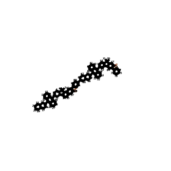 CC1(C)C2=CC=C(c3c4ccccc4c(C4=CC=C5C=CC=CC5C4)c4ccccc34)CC2c2ccc3cc4sc5cc(C6=CC7=CC=C(c8c9ccccc9c(-c9ccc%10c(c9)-c9cc%11c(cc9C%10(C)C)sc9ccccc9%11)c9ccccc89)CC7C=C6)ccc5c4cc3c21